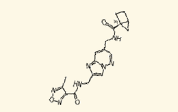 Cc1nonc1C(=O)NCc1cn2ncc(CNC(=O)[C@@]34CCC3C4)cc2n1